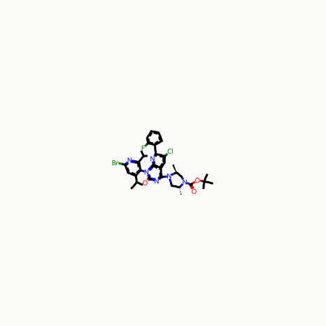 CC(C)c1cc(Br)nc(C(C)C)c1-n1c(=O)nc(N2C[C@@H](C)N(C(=O)OC(C)(C)C)C[C@@H]2C)c2cc(Cl)c(-c3ccccc3F)nc21